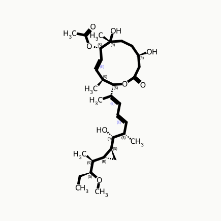 CC[C@H](OC)[C@@H](C)[C@H]1C[C@@H]1[C@H](O)[C@@H](C)/C=C/C=C(\C)[C@H]1OC(=O)C[C@H](O)CC[C@@](C)(O)[C@@H](OC(C)=O)/C=C/[C@@H]1C